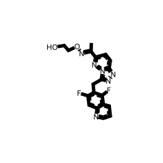 CC(=NOCCO)c1ccc2nnc(Cc3c(F)cc4ncccc4c3F)n2n1